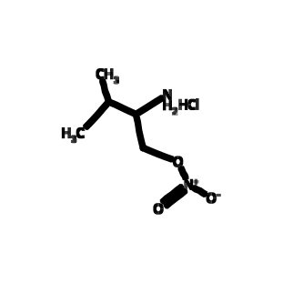 CC(C)C(N)CO[N+](=O)[O-].Cl